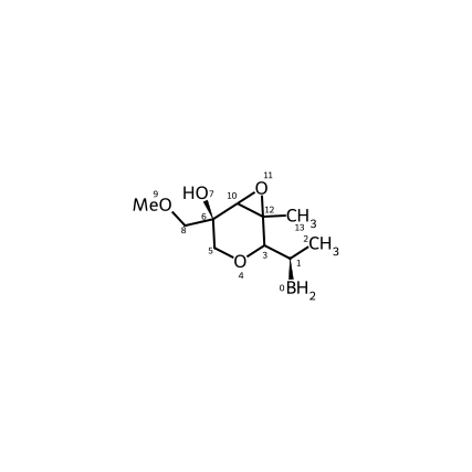 B[C@H](C)C1OC[C@](O)(COC)C2OC12C